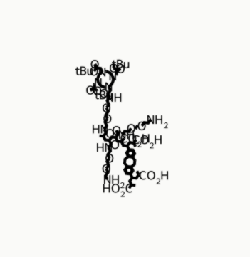 CC(CC(CC(C)C(=O)O)c1ccc2c(c1)CCc1ccc(C(CC(C)C(=O)O)CC(CC(CC(CC(C)C(=O)NCCOCCOCCNC(=O)CN3CCN(CC(=O)OC(C)(C)C)CCN(CC(=O)OC(C)(C)C)CCN(CC(=O)OC(C)(C)C)CC3)C(=O)NCCOCCOCCN)C(=O)NCCOCCOCCN)C(=O)O)cc1CC2)C(=O)O